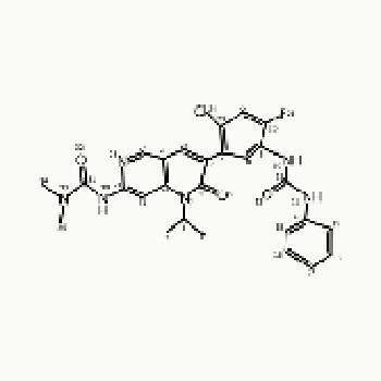 CC(C)n1c(=O)c(-c2cc(NC(=O)Nc3ccccc3)c(F)cc2Cl)cc2cnc(NC(=O)N(C)C)cc21